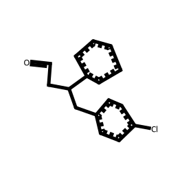 O=CCC(Cc1ccc(Cl)cc1)c1ccccc1